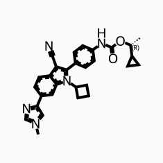 C[C@@H](OC(=O)Nc1ccc(-c2c(C#N)c3ccc(-c4cn(C)cn4)cc3n2C2CCC2)cc1)C1CC1